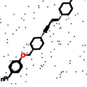 CCCCC[C@H]1CC[C@H](C=CC#C[C@H]2CC[C@H](COc3ccc(CCC)cc3)CC2)CC1